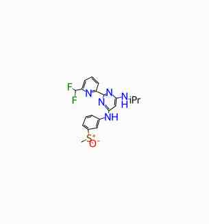 CC(C)Nc1cc(Nc2cccc([S+](C)[O-])c2)nc(-c2cccc(C(F)F)n2)n1